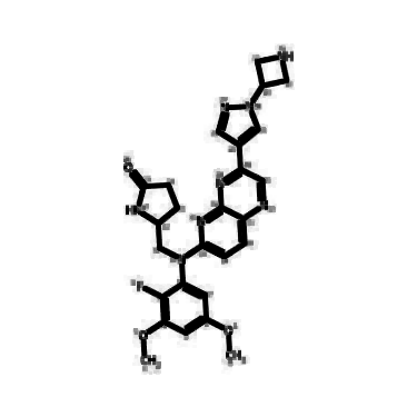 COc1cc(OC)c(F)c(N(CC2CCC(=O)N2)c2ccc3ncc(-c4cnn(C5CNC5)c4)nc3n2)c1